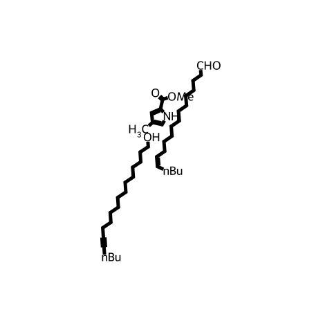 CCCC/C=C\CCCCCCCCCCCC=O.CCCCC#CCCCCCCCCCCCCO.COC(=O)c1cc(C)c[nH]1